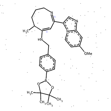 COc1ccn2c(C3=N/CCCC(C)/C(NCc4ccc(B5OC(C)(C)C(C)(C)O5)cc4)=C\3)cnc2c1